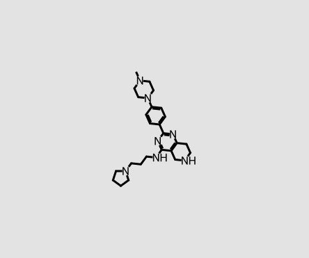 CN1CCN(c2ccc(-c3nc4c(c(NCCCN5CCCC5)n3)CNCC4)cc2)CC1